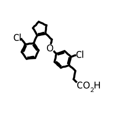 O=C(O)CCc1ccc(OCC2=C(c3ccccc3Cl)CCC2)cc1Cl